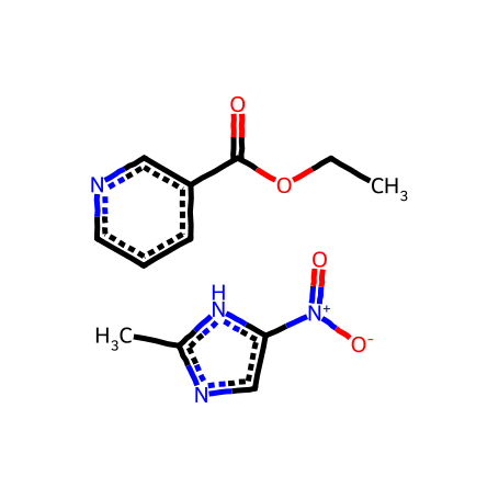 CCOC(=O)c1cccnc1.Cc1ncc([N+](=O)[O-])[nH]1